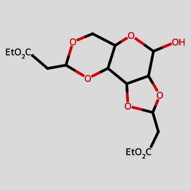 CCOC(=O)CC1OCC2OC(O)C3OC(CC(=O)OCC)OC3C2O1